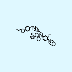 CCCOc1ccc(CN2CC3C(C2)C3CN(C(=O)Oc2cccs2)c2ccc(N3CCOCC3)c(F)c2)cc1